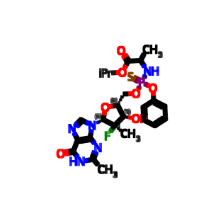 Cc1nc2c(ncn2[C@@H]2O[C@H](COP(=S)(NC(C)C(=O)OC(C)C)Oc3ccccc3)[C@@H](O)[C@@]2(C)F)c(=O)[nH]1